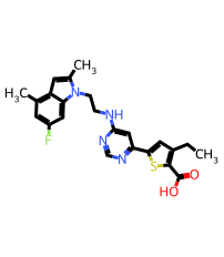 CCc1cc(-c2cc(NCCn3c(C)cc4c(C)cc(F)cc43)ncn2)sc1C(=O)O